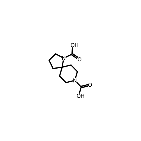 O=C(O)N1CCC2(CCCN2C(=O)O)CC1